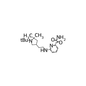 CC(C)(C)N1CC(CCNc2cccc(S(N)(=O)=O)n2)CC1(C)C